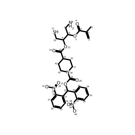 C=C(C)C(=O)OC(CN)C(CS)OC(=O)C1CCN(C(=O)OC(c2ccccc2[N+](=O)[O-])c2ccccc2[N+](=O)[O-])CC1